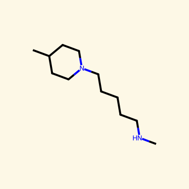 CNCCCCCN1CCC(C)CC1